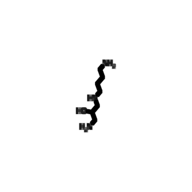 NCCCCNCC(O)CN